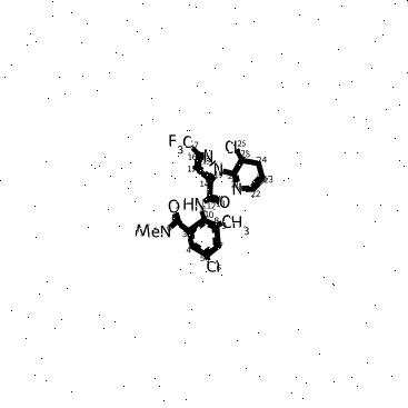 CNC(=O)c1cc(Cl)cc(C)c1NC(=O)c1cc(C(F)(F)F)nn1C1=NC=CCC1Cl